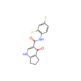 O=C(Nc1ccc(F)cc1F)c1c[nH]c2c(c1=O)CCC2